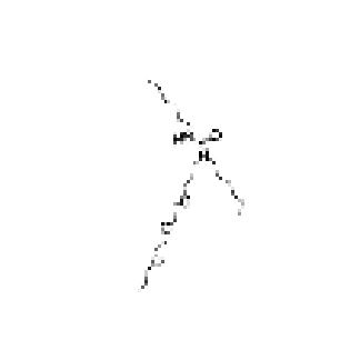 CCCCCCNC(=O)N(CCCCCC)CCCOCCOCCOCCC